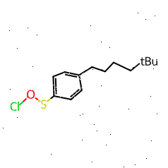 CC(C)(C)CCCCc1ccc(SOCl)cc1